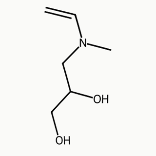 C=CN(C)CC(O)CO